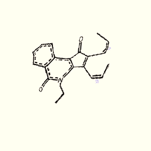 C/C=C\C1=C(/C=C\C)c2c(c3ccccc3c(=O)n2CC)C1=O